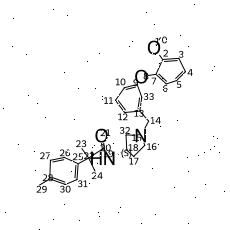 COc1ccccc1Oc1cccc(CN2CC[C@H](NC(=O)C(C)(C)c3ccc(C)cc3)C2)c1